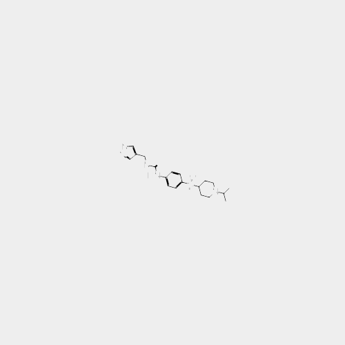 CC(C)N1CCC(S(=O)(=O)c2ccc(NC(=O)NCc3cn[nH]c3)cc2)CC1